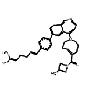 CCCC(=CCC/C=C/c1ccc(C2=CCC3=CN=CC=C(N4CC/C=C(\C(=O)N5CC(C#N)C5)CCC4)C3=C2)cc1)CCC